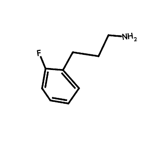 NCCCc1ccccc1F